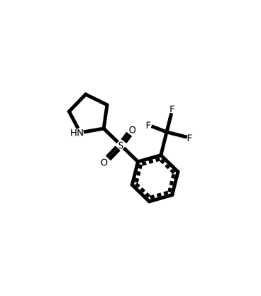 O=S(=O)(c1ccccc1C(F)(F)F)C1CCCN1